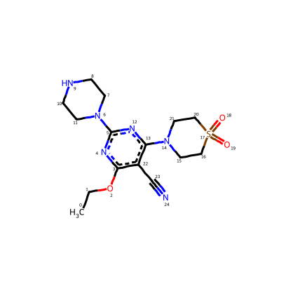 CCOc1nc(N2CCNCC2)nc(N2CCS(=O)(=O)CC2)c1C#N